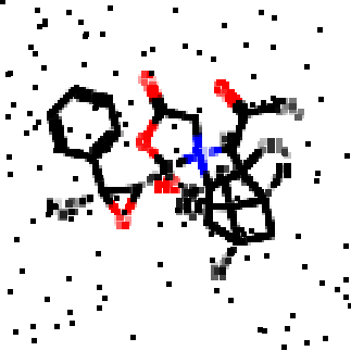 CC(=O)C[N+]1([C@@H]2C[C@@H]3C[C@H]([C@H]2C)C3(C)C)CC(=O)O[B-]1(O)[C@@H]1O[C@@]1(C)c1ccccc1